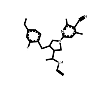 C=CNC(C)C1CN(c2cc(C)c(C#N)c(C)n2)CC1Cc1ccc(CC)cc1F